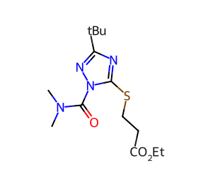 CCOC(=O)CCSc1nc(C(C)(C)C)nn1C(=O)N(C)C